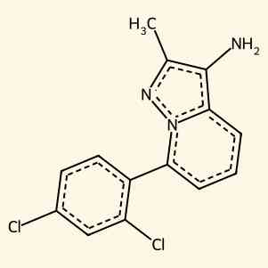 Cc1nn2c(-c3ccc(Cl)cc3Cl)cccc2c1N